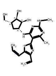 C=Cc1nc(-c2c(C)nc(NC)nc2N[C@@H]2C[C@H](CO)[C@@H](O)[C@H]2O)sc1/C=C\C